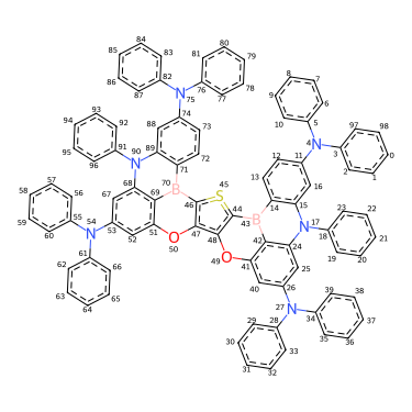 c1ccc(N(c2ccccc2)c2ccc3c(c2)N(c2ccccc2)c2cc(N(c4ccccc4)c4ccccc4)cc4c2B3c2sc3c(c2O4)Oc2cc(N(c4ccccc4)c4ccccc4)cc4c2B3c2ccc(N(c3ccccc3)c3ccccc3)cc2N4c2ccccc2)cc1